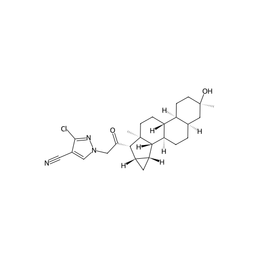 C[C@@]1(O)CC[C@H]2[C@H](CC[C@@H]3[C@@H]2CC[C@@]2(C)[C@H]3[C@@H]3C[C@@H]3[C@@H]2C(=O)Cn2cc(C#N)c(Cl)n2)C1